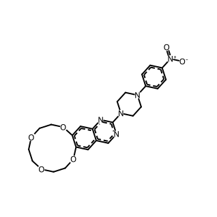 O=[N+]([O-])c1ccc(N2CCN(c3ncc4cc5c(cc4n3)OCCOCCOCCO5)CC2)cc1